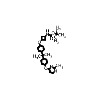 Cc1nccc(Oc2ccc(C(C)(C)c3ccc(OC4CC(NC(=O)OC(C)(C)C)C4)cc3)cc2)n1